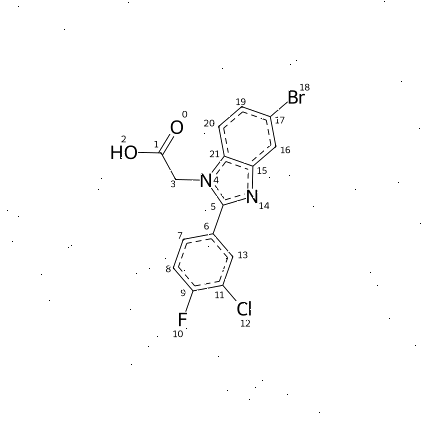 O=C(O)Cn1c(-c2ccc(F)c(Cl)c2)nc2cc(Br)ccc21